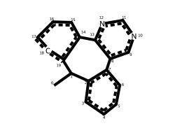 CC1c2ccccc2-c2cncnc2-c2ccccc21